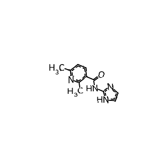 Cc1ccc(C(=O)Nc2ncc[nH]2)c(C)n1